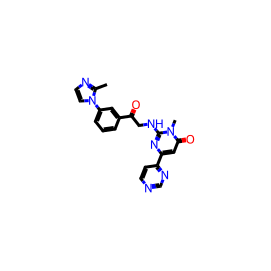 Cc1nccn1-c1cccc(C(=O)CNc2nc(-c3ccncn3)cc(=O)n2C)c1